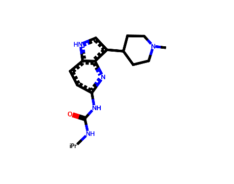 CC(C)NC(=O)Nc1ccc2[nH]cc(C3CCN(C)CC3)c2n1